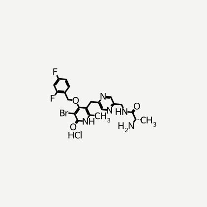 Cc1[nH]c(=O)c(Br)c(OCc2ccc(F)cc2F)c1Cc1cnc(CNC(=O)[C@H](C)N)cn1.Cl